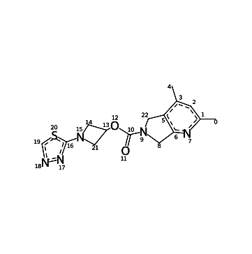 Cc1cc(C)c2c(n1)CN(C(=O)OC1CN(c3nncs3)C1)C2